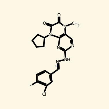 Cn1c(=O)c(=O)n(C2CCCC2)c2nc(N/N=C/c3ccc(F)c(Cl)c3)ncc21